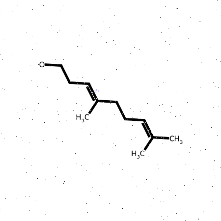 CC(C)=CCC/C(C)=C/CC[O]